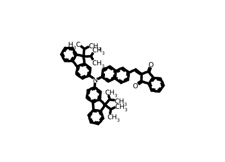 CC(C)C1(C(C)C)c2ccccc2-c2ccc(N(c3ccc4c(c3)C(C(C)C)(C(C)C)c3ccccc3-4)c3ccc4cc(C=C5C(=O)c6ccccc6C5=O)ccc4c3)cc21